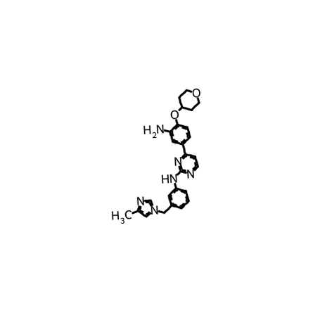 Cc1cn(Cc2cccc(Nc3nccc(-c4ccc(OC5CCOCC5)c(N)c4)n3)c2)cn1